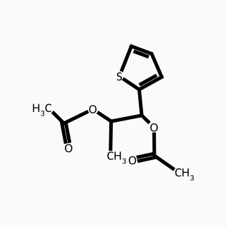 CC(=O)OC(C)C(OC(C)=O)c1cccs1